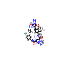 Cc1cc(CNC(=O)c2cc(C(=O)N[C@H]3CCc4c3ccc(C3NC(=O)NC3=O)c4C)n3ncnc3n2)ccc1F